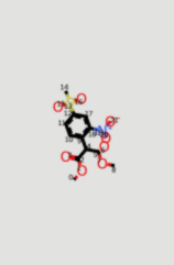 COC(=O)C(C(=O)OC)c1ccc(S(C)(=O)=O)cc1[N+](=O)[O-]